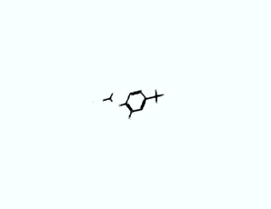 CCCCCCCCC(Oc1ccc(C(C)(C)CC)cc1Cl)C(=O)O